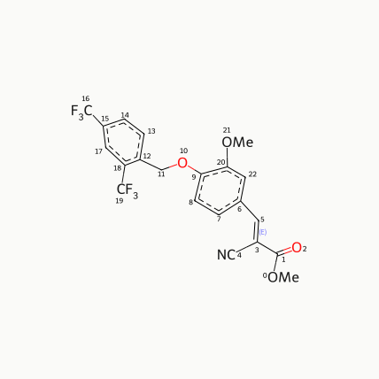 COC(=O)/C(C#N)=C/c1ccc(OCc2ccc(C(F)(F)F)cc2C(F)(F)F)c(OC)c1